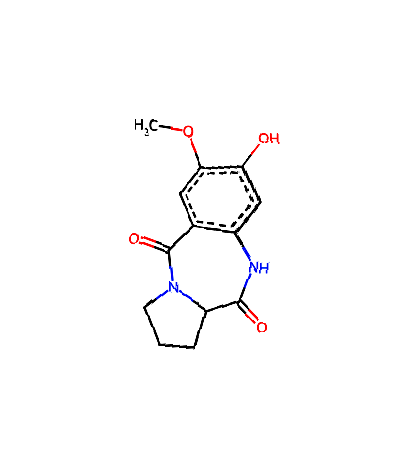 COc1cc2c(cc1O)NC(=O)C1CCCN1C2=O